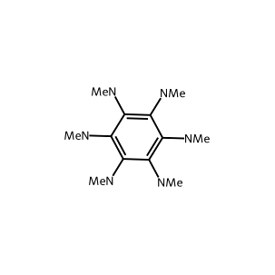 CNc1c(NC)c(NC)c(NC)c(NC)c1NC